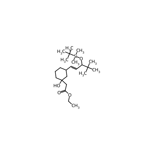 CCOC(=O)CC1(O)CCCC(C=CC(O[Si](C)(C)C(C)(C)C)C(C)(C)C)C1